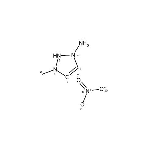 CN1[C+]=CN(N)N1.O=[N+]([O-])[O-]